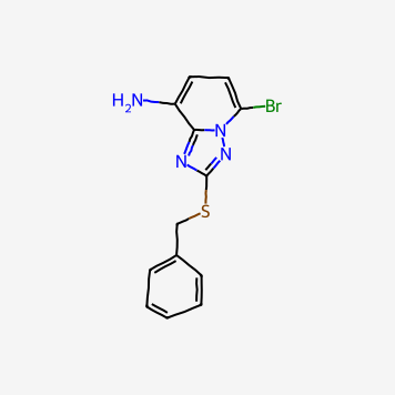 Nc1ccc(Br)n2nc(SCc3ccccc3)nc12